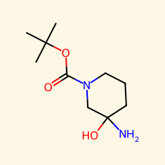 CC(C)(C)OC(=O)N1CCCC(N)(O)C1